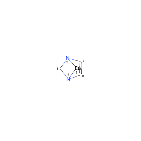 C1=C[N]2C[N]1[Eu]2